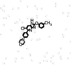 Cc1cccc(Oc2nc3nc(-c4ccc(N5CCOCC5)cc4)c(Cl)cc3[nH]2)c1